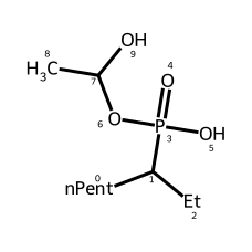 CCCCCC(CC)P(=O)(O)OC(C)O